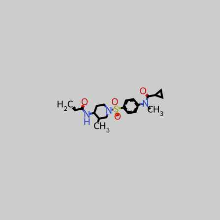 C=CC(=O)NC1CCN(S(=O)(=O)c2ccc(N(C)C(=O)C3CC3)cc2)CC1C